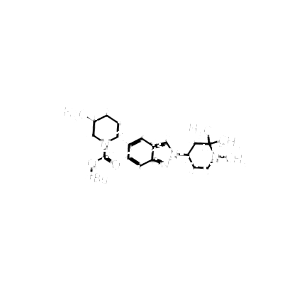 C[C@H]1CC[C@H](c2ccc3nn(C4CCN(C)C(C)(C)C4)cc3c2)N(C(=O)OC(C)(C)C)C1